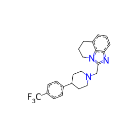 FC(F)(F)c1ccc(C2CCN(Cc3nc4cccc5c4n3CCC5)CC2)cc1